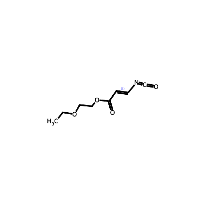 CCOCCOC(=O)/C=C/N=C=O